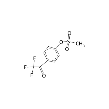 CS(=O)(=O)Oc1ccc(C(=O)C(F)(F)F)cc1